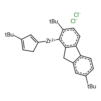 CC(C)(C)C1=CC[C]([Zr+2][c]2c(C(C)(C)C)ccc3c2Cc2cc(C(C)(C)C)ccc2-3)=C1.[Cl-].[Cl-]